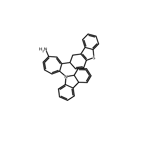 NC1=C=CC=C(N2c3ccccc3C3C=C=C=CC32)C(C2C=Cc3sc4ccccc4c3C2)=C1